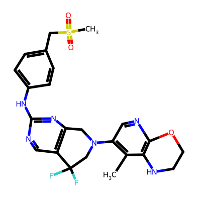 Cc1c(N2Cc3nc(Nc4ccc(CS(C)(=O)=O)cc4)ncc3C(F)(F)C2)cnc2c1NCCO2